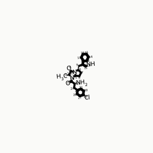 C[C@H]1C(=O)N2C(CC[C@@H]2Cc2c[nH]c3ccccc23)N1C(=O)[C@H](N)Cc1ccc(Cl)cc1